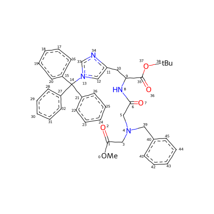 COC(=O)CN(CC(=O)NC(Cc1cn(C(c2ccccc2)(c2ccccc2)c2ccccc2)cn1)C(=O)OC(C)(C)C)Cc1ccccc1